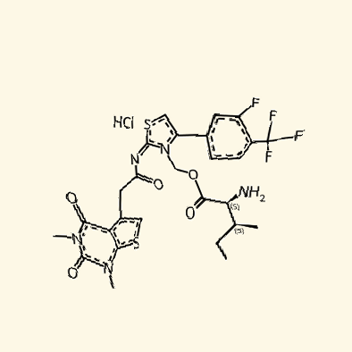 CC[C@H](C)[C@H](N)C(=O)OCn1c(-c2ccc(C(F)(F)F)c(F)c2)csc1=NC(=O)Cc1csc2c1c(=O)n(C)c(=O)n2C.Cl